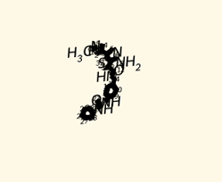 Cn1cc(-c2cnc(N)c3c(C(=O)NCc4ccc(NC(=O)Nc5ccccc5)cc4)csc23)cn1